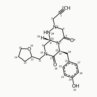 C#CCN1CC(=O)N2[C@H](CN(CC3CCCO3)C(=O)[C@@H]2Cc2ccc(O)cc2)N1